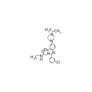 CCNC(=O)Cn1c(-c2cccc(Cl)c2)nc2ccc(N3CCCN(C(C)C)CC3)cc2c1=O